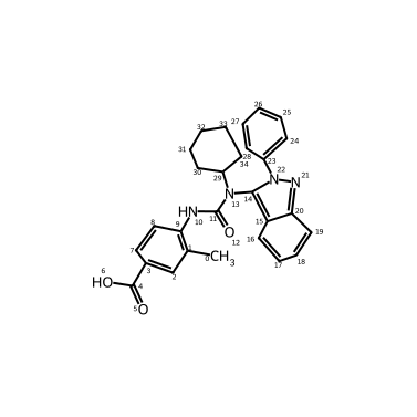 Cc1cc(C(=O)O)ccc1NC(=O)N(c1c2ccccc2nn1-c1ccccc1)C1CCCCC1